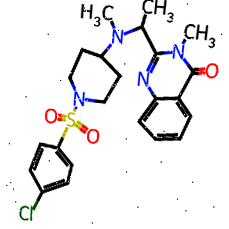 CC(c1nc2ccccc2c(=O)n1C)N(C)C1CCN(S(=O)(=O)c2ccc(Cl)cc2)CC1